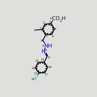 Cc1cc(C(=O)O)ccc1CNN=Cc1ccc(F)cc1